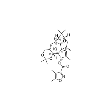 CC1=C[C@]23C(=O)[C@@H](C=C4COC(C)(C)O[C@H]4[C@]2(O)[C@H]1OC(=O)c1noc(C)c1C)[C@H]1[C@@H](C[C@H]3C)C1(C)C